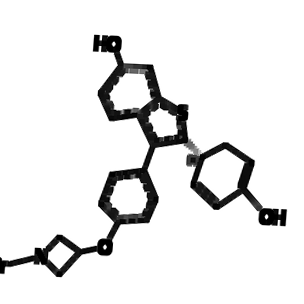 CCCN1CC(Oc2ccc(-c3c([C@H]4C=CC(O)=CC4)sc4cc(O)ccc34)cc2)C1